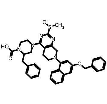 C[S+]([O-])c1nc2c(c(N3CCN(C(=O)O)C(Cc4ccccc4)C3)n1)CCN(c1cc(OCc3ccccc3)cc3ccccc13)C2